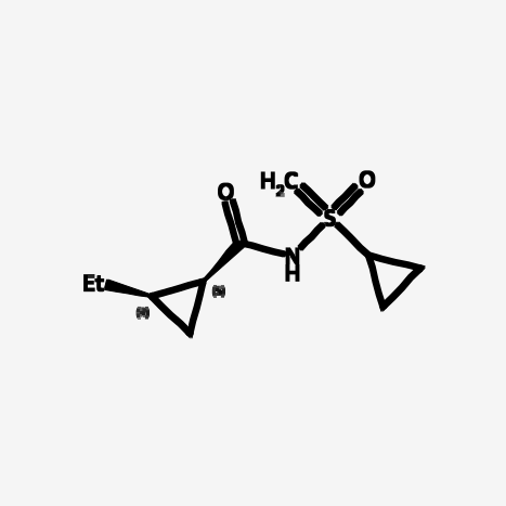 C=S(=O)(NC(=O)[C@H]1C[C@H]1CC)C1CC1